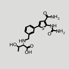 CC(O)[C@H](NCc1cccc(-c2cc(C(N)=O)c(NC(N)=O)s2)c1)C(=O)O